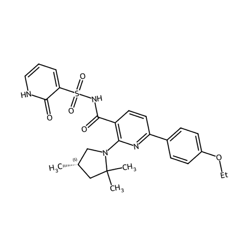 CCOc1ccc(-c2ccc(C(=O)NS(=O)(=O)c3ccc[nH]c3=O)c(N3C[C@@H](C)CC3(C)C)n2)cc1